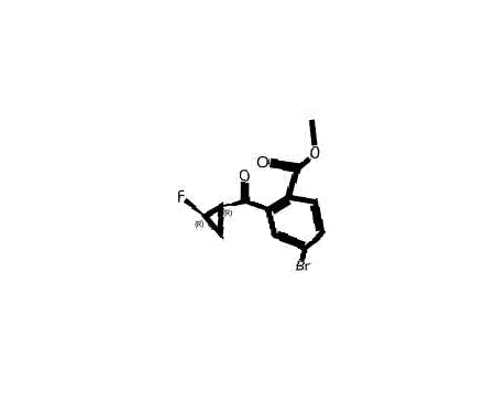 COC(=O)c1ccc(Br)cc1C(=O)[C@H]1C[C@H]1F